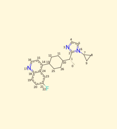 C[C@@H](c1nccn1C1CC1)C1CCC(c2ccnc3ccc(F)cc23)CC1